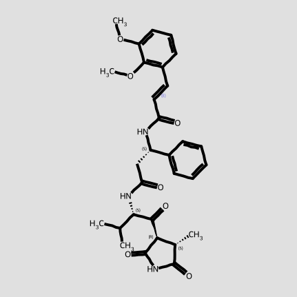 COc1cccc(/C=C/C(=O)N[C@@H](CC(=O)N[C@H](C(=O)[C@@H]2C(=O)NC(=O)[C@H]2C)C(C)C)c2ccccc2)c1OC